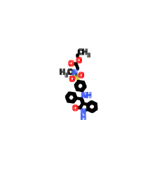 CCOC(=O)CN(C)S(=O)(=O)c1ccc(NC(=C2C(=O)Nc3ccccc32)c2ccccc2)cc1